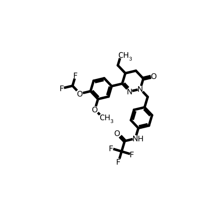 CCC1CC(=O)N(Cc2ccc(NC(=O)C(F)(F)F)cc2)N=C1c1ccc(OC(F)F)c(OC)c1